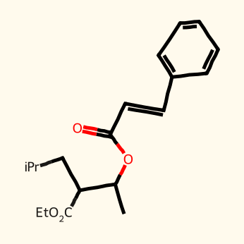 CCOC(=O)C(CC(C)C)C(C)OC(=O)C=Cc1ccccc1